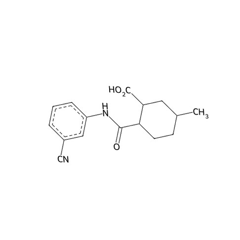 CC1CCC(C(=O)Nc2cccc(C#N)c2)C(C(=O)O)C1